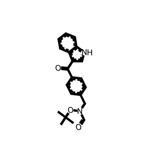 CC(C)(C)ON(C=O)Cc1ccc(C(=O)c2c[nH]c3ccccc23)cc1